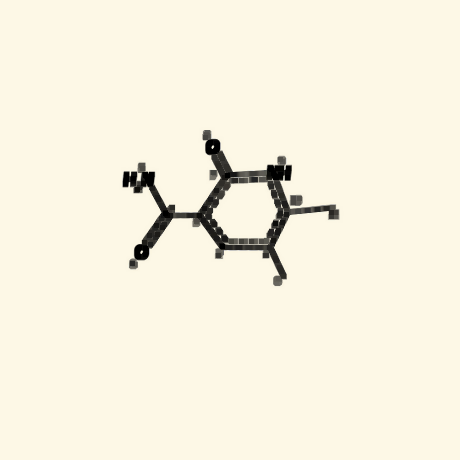 Cc1cc(C(N)=O)c(=O)[nH]c1C